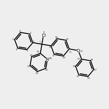 ClC(c1ccccc1)(c1ccc(Oc2ccccc2)cc1)c1ccccn1